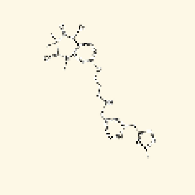 CCN1C(=O)C(C)(C)C(=O)N(C)c2cc(OCCCNCc3ccnc(Cc4ccc(C)o4)c3)ccc21